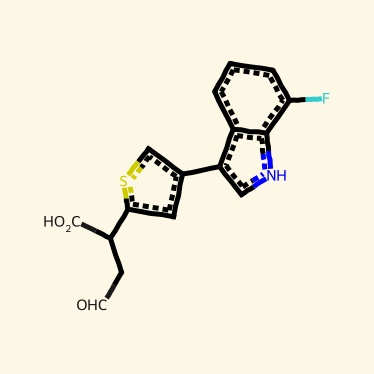 O=CCC(C(=O)O)c1cc(-c2c[nH]c3c(F)cccc23)cs1